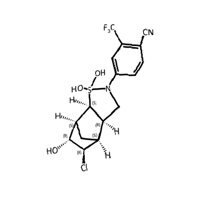 N#Cc1ccc(N2C[C@H]3[C@@H]4C[C@@H]([C@@H](O)[C@@H]4Cl)[C@H]3S2(O)O)cc1C(F)(F)F